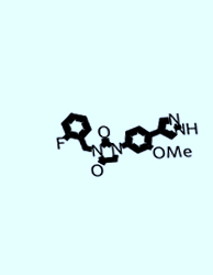 COc1cc(N2CC(=O)N(Cc3ccccc3F)C2=O)ccc1-c1cn[nH]c1